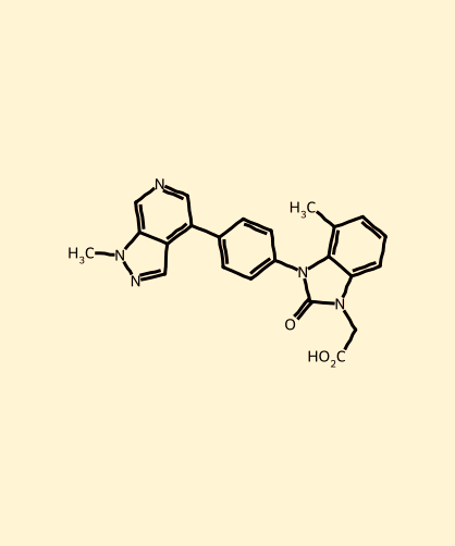 Cc1cccc2c1n(-c1ccc(-c3cncc4c3cnn4C)cc1)c(=O)n2CC(=O)O